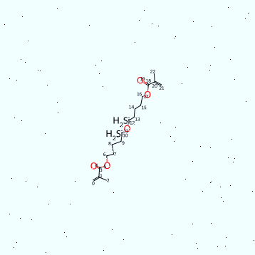 C=C(C)C(=O)OCCCC[SiH2]O[SiH2]CCCCOC(=O)C(=C)C